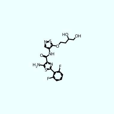 Nc1sc(-c2c(F)cccc2F)nc1C(=O)Nc1cnsc1OCCC(O)CO